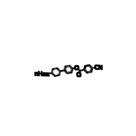 CCCCCCC1CCC(c2ccc(OC(=O)c3ccc(C#N)cc3)cc2)CC1